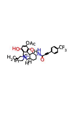 C=CC[N+]1(CC(C)C)CC[C@]23c4c5c(O)cc(OC(C)=O)c4O[C@H]2[C@H](NC(=O)C#Cc2ccc(C(F)(F)F)cc2)CC[C@H]3[C@H]1C5